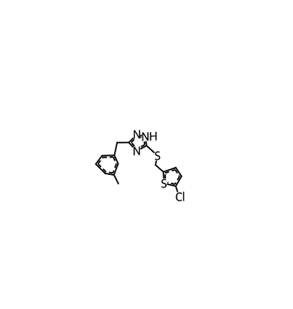 Cc1cccc(Cc2n[nH]c(SCc3ccc(Cl)s3)n2)c1